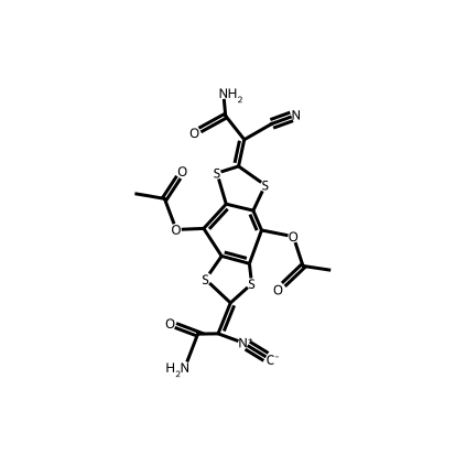 [C-]#[N+]C(C(N)=O)=C1Sc2c(OC(C)=O)c3c(c(OC(C)=O)c2S1)SC(=C(C#N)C(N)=O)S3